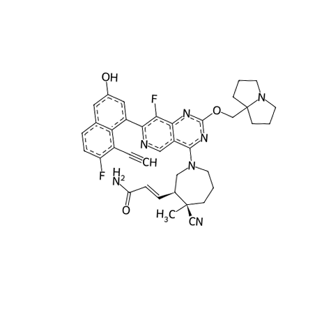 C#Cc1c(F)ccc2cc(O)cc(-c3ncc4c(N5CCC[C@@](C)(C#N)[C@@H](C=CC(N)=O)C5)nc(OCC56CCCN5CCC6)nc4c3F)c12